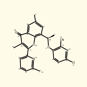 Cc1cc([C@@H](C)Oc2ccc(Cl)nc2C#N)c2oc(-c3cccc(F)n3)c(C)c(=O)c2c1